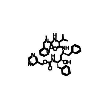 CC(C)[C@H](NC(=O)N(C)Cc1ccccn1)C(=O)N[C@@H](Cc1ccccc1)C[C@H](O)[C@H](Cc1ccccc1)NC(=O)OCc1cncnc1